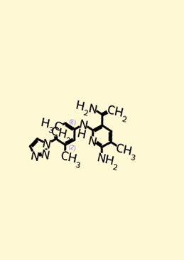 C=C(N)c1cc(C)c(N)nc1NC(/C=C(/C)C(=C)n1ccnn1)=C/C